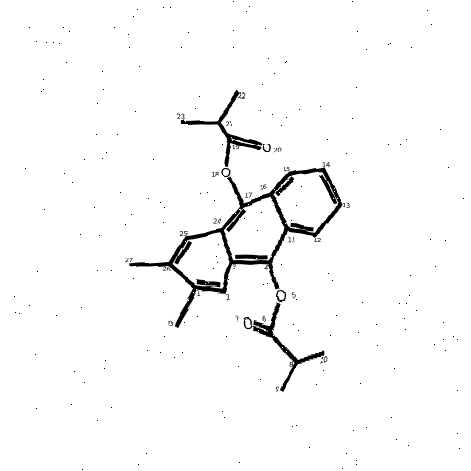 Cc1cc2c(OC(=O)C(C)C)c3ccccc3c(OC(=O)C(C)C)c2cc1C